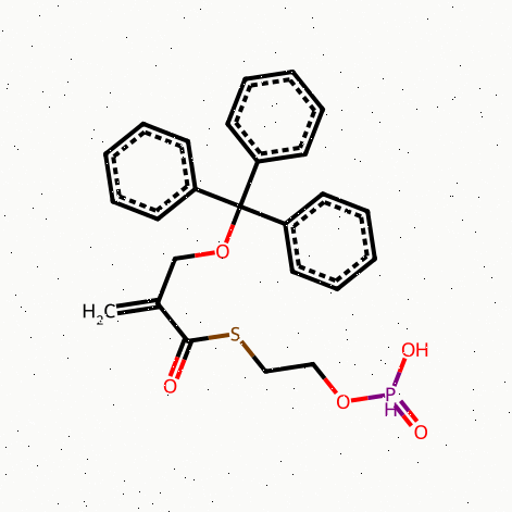 C=C(COC(c1ccccc1)(c1ccccc1)c1ccccc1)C(=O)SCCO[PH](=O)O